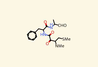 CNC(CSC)C(=O)C(=O)NC(Cc1ccccc1)C(=O)NC(C)C=O